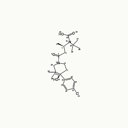 C[C@H](CC(=O)N1CC[C@](O)(c2ccc(Cl)cc2)C(C)(C)C1)N(C(=O)O)C(C)(C)C